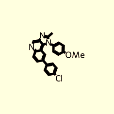 COc1ccc(-n2c(C)nc3cnc4ccc(-c5ccc(Cl)cc5)cc4c32)cc1